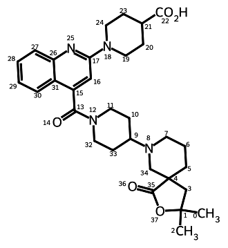 CC1(C)CC2(CCCN(C3CCN(C(=O)c4cc(N5CCC(C(=O)O)CC5)nc5ccccc45)CC3)C2)C(=O)O1